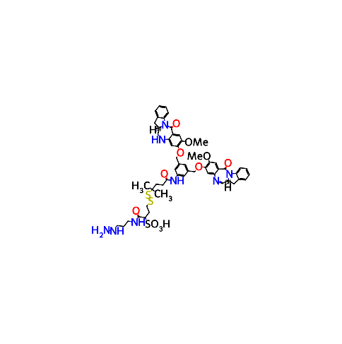 COc1cc2c(cc1OCc1cc(COc3cc4c(cc3OC)C(=O)N3c5ccccc5C[C@H]3CN4)cc(NC(=O)CCC(C)(C)SSCCC(C(=O)NCCCNN)S(=O)(=O)O)c1)N=C[C@@H]1Cc3ccccc3N1C2=O